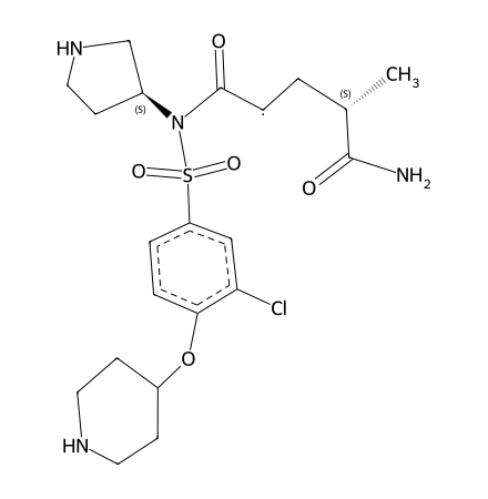 C[C@@H](C[CH]C(=O)N([C@H]1CCNC1)S(=O)(=O)c1ccc(OC2CCNCC2)c(Cl)c1)C(N)=O